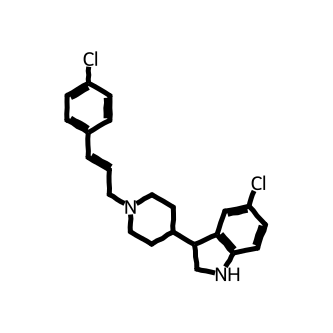 Clc1ccc(C=CCN2CCC(C3CNc4ccc(Cl)cc43)CC2)cc1